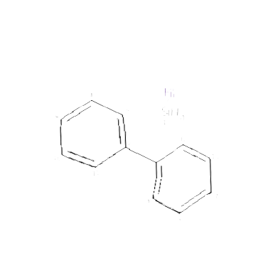 I.[SiH4].c1ccc(-c2ccccc2)cc1